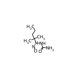 CCCC(C)(C)N(N=O)NC(N)=O